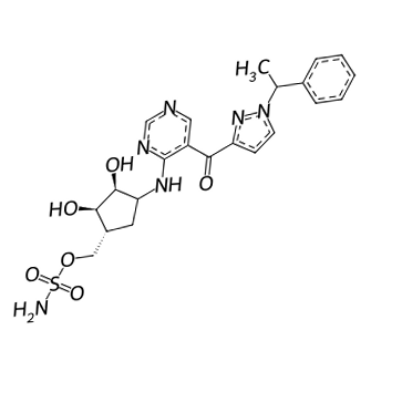 CC(c1ccccc1)n1ccc(C(=O)c2cncnc2NC2C[C@H](COS(N)(=O)=O)[C@@H](O)[C@H]2O)n1